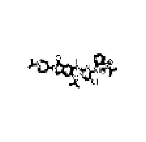 CC(C)Oc1cc2c(cc1Nc1ncc(Cl)c(Nc3ccccc3S(=O)(=O)C(C)C)n1)C(=O)N(C1CCN(C(C)C)CC1)C2